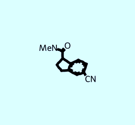 CNC(=O)C1CCc2cc(C#N)ccc21